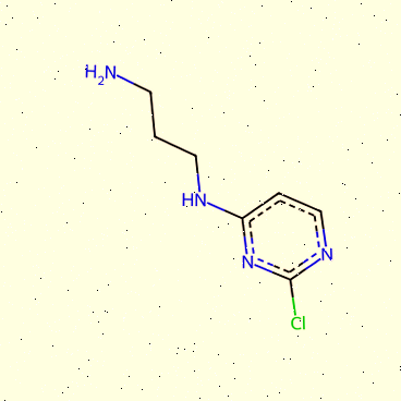 NCCCNc1ccnc(Cl)n1